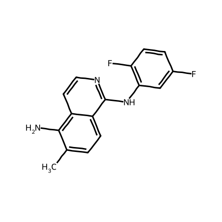 Cc1ccc2c(Nc3cc(F)ccc3F)nccc2c1N